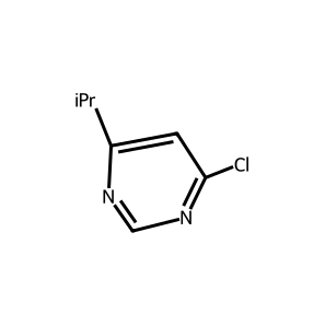 CC(C)c1cc(Cl)ncn1